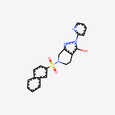 O=S(=O)(c1ccc2ccccc2c1)N1CCc2c(nn(-c3ccccn3)c2O)C1